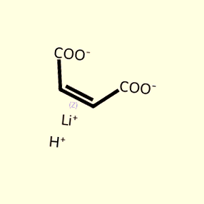 O=C([O-])/C=C\C(=O)[O-].[H+].[Li+]